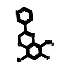 Nc1c(F)cc(Br)c2c1N=C(c1cccnc1)CO2